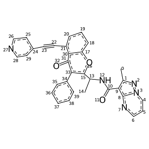 Cc1nn2cccnc2c1C(=O)NC(C)c1oc2cccc(C#Cc3ccncc3)c2c(=O)c1-c1ccccc1